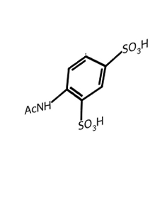 CC(=O)Nc1c[c]c(S(=O)(=O)O)cc1S(=O)(=O)O